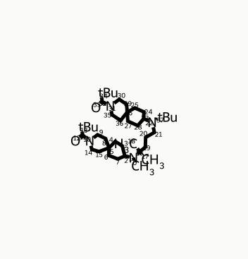 CN(C1CCC2(CC1)CCN(C(=O)C(C)(C)C)CC2)C(C)(C)CCCN(C1CCC2(CC1)CCN(C(=O)C(C)(C)C)CC2)C(C)(C)C